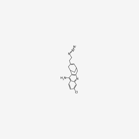 [N-]=[N+]=NCCC1=CC2Cc3nc4cc(Cl)ccc4c(N)c3C(C1)C2